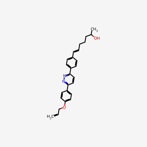 C=CCOc1ccc(-c2ccc(-c3ccc(/C=C/CCCC(C)O)cc3)nn2)cc1